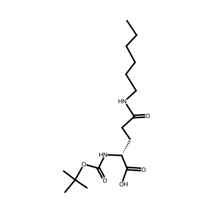 CCCCCCNC(=O)CC[C@@H](NC(=O)OC(C)(C)C)C(=O)O